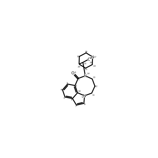 O=C1c2cccc3ccn(c23)CCCN1C1CN2CCC1CC2